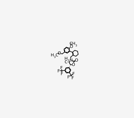 COCc1ccc(OC)c(C2=C(CN3C(=O)O[C@H](c4cc(C(F)(F)F)cc(C(F)(F)F)c4)[C@@H]3C)CCCC2)c1